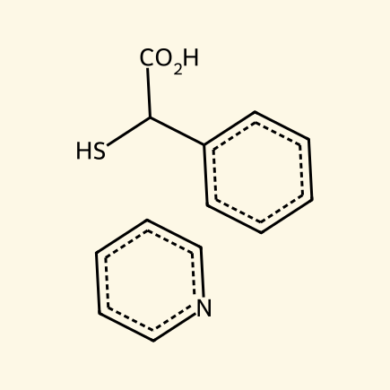 O=C(O)C(S)c1ccccc1.c1ccncc1